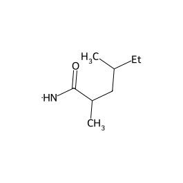 CCC(C)CC(C)C([NH])=O